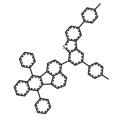 Cc1ccc(-c2ccc3sc4c(-c5ccc6c7c(cccc57)-c5c-6c(-c6ccccc6)c6ccccc6c5-c5ccccc5)cc(-c5ccc(C)cc5)cc4c3c2)cc1